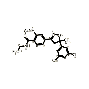 CC(=O)Nc1cc(C2=NOC(c3cc(Cl)cc(Cl)c3)(C(F)(F)F)C2)ccc1C(=O)NCC(F)(F)F